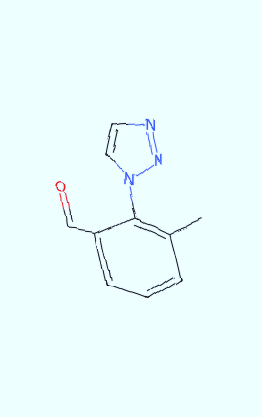 Cc1cccc(C=O)c1-n1ccnn1